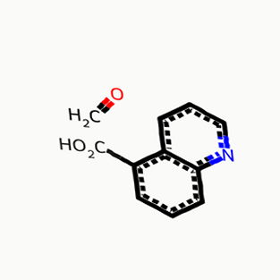 C=O.O=C(O)c1cccc2ncccc12